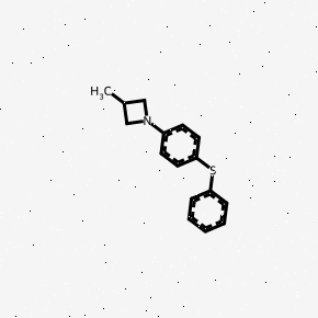 CC1CN(c2ccc(Sc3ccccc3)cc2)C1